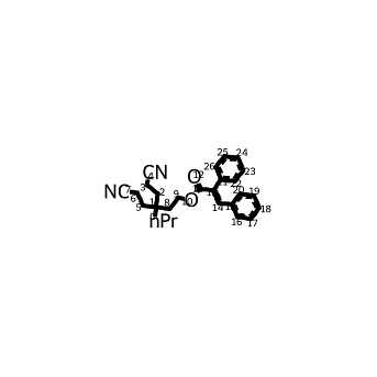 CCCC(CCC#N)(CCC#N)CCOC(=O)C(=Cc1ccccc1)c1ccccc1